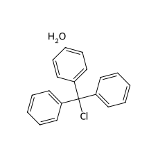 ClC(c1ccccc1)(c1ccccc1)c1ccccc1.O